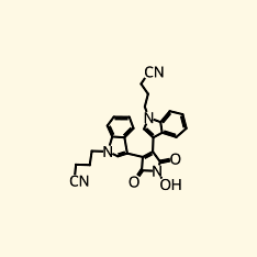 N#CCCCn1cc(C2=C(c3cn(CCCC#N)c4ccccc34)C(=O)N(O)C2=O)c2ccccc21